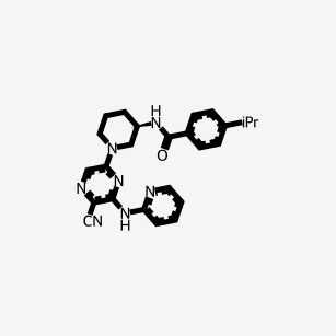 CC(C)c1ccc(C(=O)N[C@@H]2CCCN(c3cnc(C#N)c(Nc4ccccn4)n3)C2)cc1